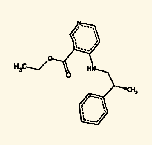 CCOC(=O)c1cnccc1NC[C@H](C)c1ccccc1